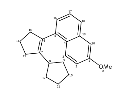 COc1ccc2c(C3=C(C4CCCC4)CCC3)cccc2c1